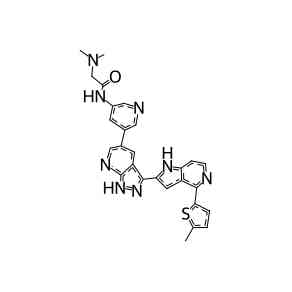 Cc1ccc(-c2nccc3[nH]c(-c4n[nH]c5ncc(-c6cncc(NC(=O)CN(C)C)c6)cc45)cc23)s1